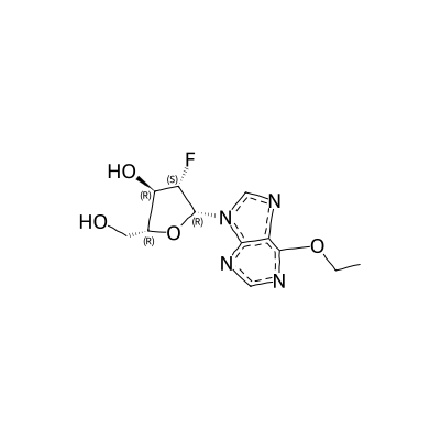 CCOc1ncnc2c1ncn2[C@@H]1O[C@H](CO)[C@@H](O)[C@@H]1F